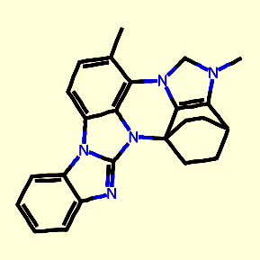 Cc1ccc2c3c1N1CN(C)C4=C1C1(CCC4CC1)n3c1nc3ccccc3n21